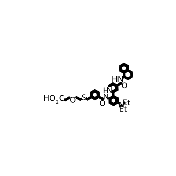 CCN(CC)c1ccc(NC(=O)c2cccc(CSCCOCCC(=O)O)c2)c(-c2cc(C(=O)NC3CCCc4ccccc43)ccn2)c1